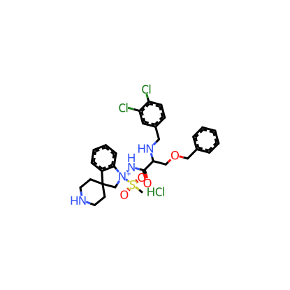 CS(=O)(=O)[N+]1(NC(=O)C(COCc2ccccc2)NCc2ccc(Cl)c(Cl)c2)CC2(CCNCC2)c2ccccc21.Cl